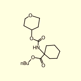 CCCCOC(=O)C1(NC(=O)OC2CCOCC2)CCCCC1